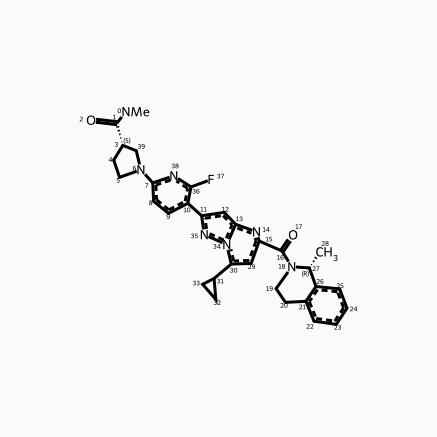 CNC(=O)[C@H]1CCN(c2ccc(-c3cc4nc(C(=O)N5CCc6ccccc6[C@H]5C)cc(C5CC5)n4n3)c(F)n2)C1